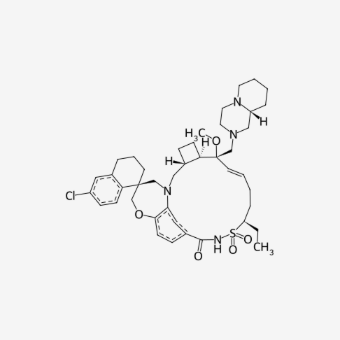 CC[C@@H]1CC/C=C/[C@@](CN2CCN3CCCC[C@@H]3C2)(OC)[C@@H]2CC[C@H]2CN2C[C@@]3(CCCc4cc(Cl)ccc43)COc3ccc(cc32)C(=O)NS1(=O)=O